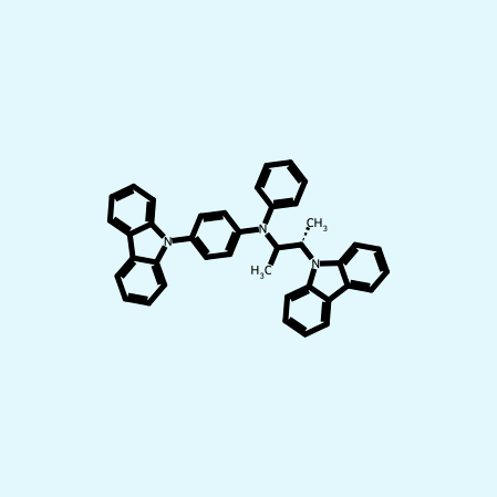 CC([C@H](C)n1c2ccccc2c2ccccc21)N(c1ccccc1)c1ccc(-n2c3ccccc3c3ccccc32)cc1